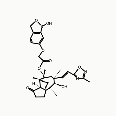 Cc1noc(/C=C/[C@]2(C)C[C@@H](OC(=O)COc3ccc4c(c3)B(O)OC4)[C@]3(C)[C@H](C)CC[C@]4(CCC(=O)[C@H]43)[C@@H](C)[C@@H]2O)n1